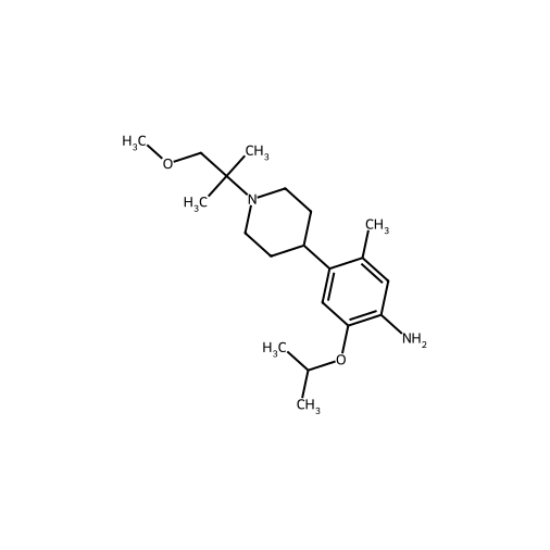 COCC(C)(C)N1CCC(c2cc(OC(C)C)c(N)cc2C)CC1